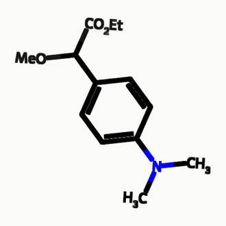 CCOC(=O)C(OC)c1ccc(N(C)C)cc1